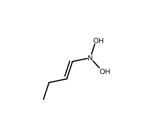 CCC=CN(O)O